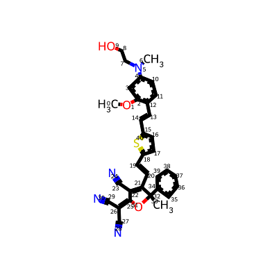 COc1cc(N(C)CCO)ccc1/C=C/c1ccc(/C=C/C2=C(C#N)C(=C(C#N)C#N)OC2(C)c2ccccc2)s1